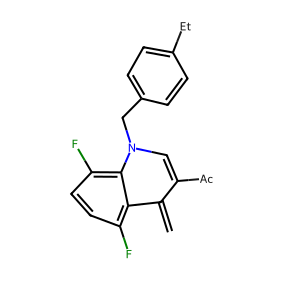 C=C1C(C(C)=O)=CN(Cc2ccc(CC)cc2)c2c(F)ccc(F)c21